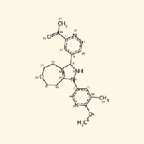 COc1ncc(N2NC(c3ccnc(C(C)=O)c3)C3=C2CCOCC3)cc1C